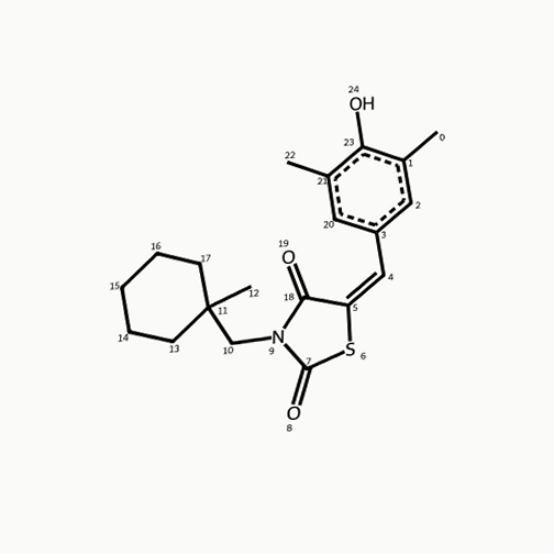 Cc1cc(C=C2SC(=O)N(CC3(C)CCCCC3)C2=O)cc(C)c1O